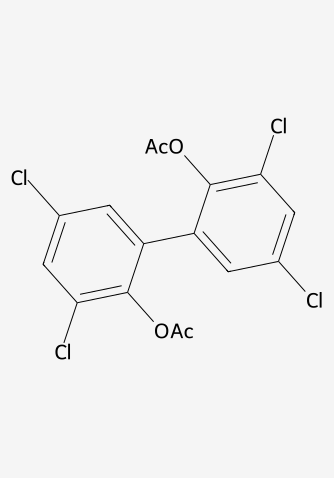 CC(=O)Oc1c(Cl)cc(Cl)cc1-c1cc(Cl)cc(Cl)c1OC(C)=O